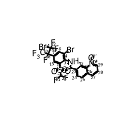 O=C(Nc1c(Br)cc(C(F)(C(F)(F)F)C(F)(F)Br)cc1S(=O)(=O)C(F)F)c1ccc2ccc[n+]([O-])c2c1